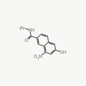 CC(C)NC(=O)c1ccc2cc(O)cc([N+](=O)[O-])c2c1